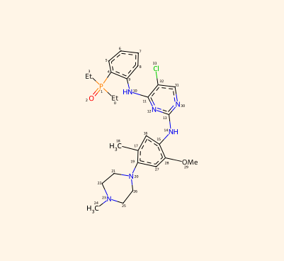 CCP(=O)(CC)c1ccccc1Nc1nc(Nc2cc(C)c(N3CCN(C)CC3)cc2OC)ncc1Cl